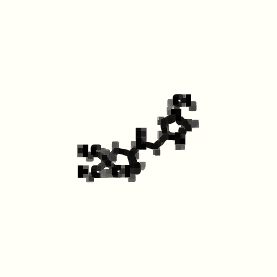 Cn1cc(CNC(=O)C[N+](C)(C)C)nn1